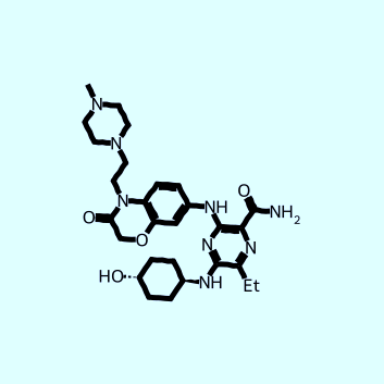 CCc1nc(C(N)=O)c(Nc2ccc3c(c2)OCC(=O)N3CCN2CCN(C)CC2)nc1N[C@H]1CC[C@H](O)CC1